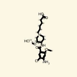 COc1cc(N)c(Cl)cc1C(=O)N[C@@H]1CCN(CCCCCC(=O)O)C[C@@H]1OC.Cl